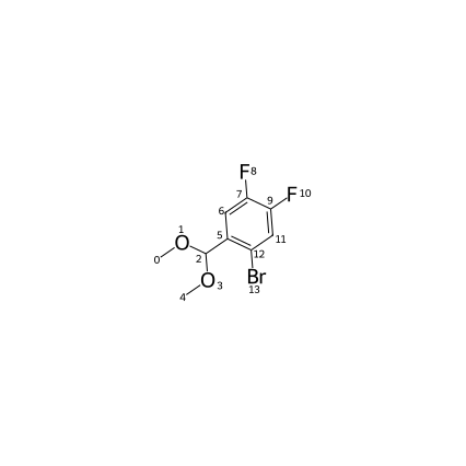 COC(OC)c1cc(F)c(F)cc1Br